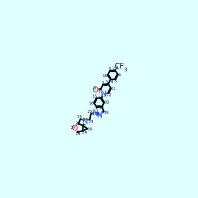 O=c1cc(-c2ccc(C(F)(F)F)cc2)ccn1-c1ccc2c(cnn2CCN2CC3OCC4CC432)c1